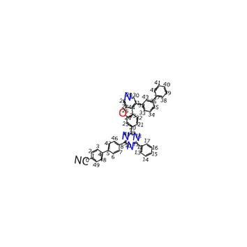 N#Cc1ccc(-c2ccc(-c3nc(-c4ccccc4)nc(-c4ccc5c(c4)oc4cncc(-c6cccc(-c7ccccc7)c6)c45)n3)cc2)cc1